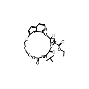 CCOC(=O)[C@@H]1C[C@H]2Oc3nccc4ccc(cc34)CCCCCOC(=O)N[C@@H](C(C)(C)C)C(=O)N1C2Br